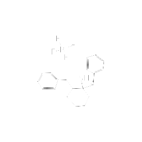 F[B-](F)(F)F.[SH2+]C1(Cc2ccccc2)CCCCC1Cc1ccccc1